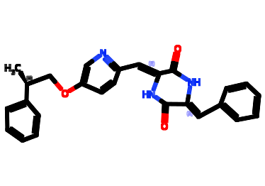 C[C@@H](COc1ccc(/C=c2\[nH]c(=O)/c(=C/c3ccccc3)[nH]c2=O)nc1)c1ccccc1